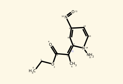 CCOC(=O)/C(C)=C1\C=C(N=O)C=CN1N